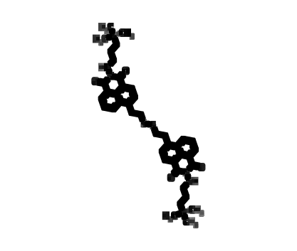 C[N+](C)(C)CCCNN1C(=O)c2cccc3c(CCSSCCc4ccc5c6c(cccc46)C(=O)N(NCCC[N+](C)(C)C)C5=O)ccc(c23)C1=O